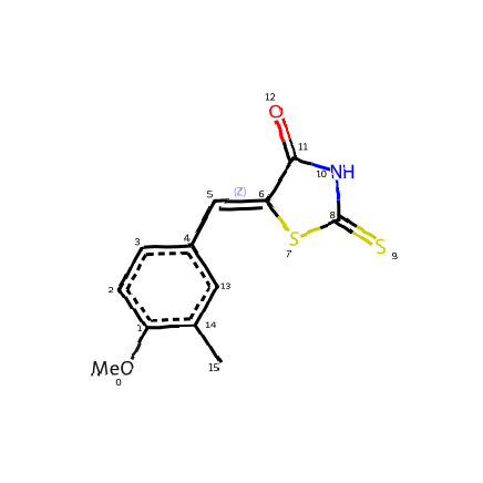 COc1ccc(/C=C2\SC(=S)NC2=O)cc1C